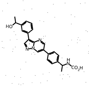 CC(O)c1cccc(-c2cnn3cc(-c4ccc(C(C)NC(=O)O)cc4)cnc23)c1